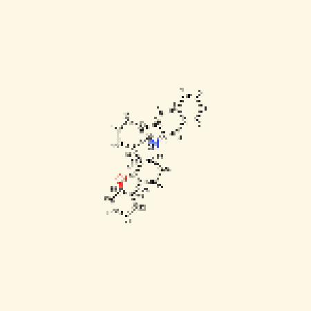 c1ccc2cc3c(cc2c1)c1cccc2c4c5oc6ccccc6c5ccc4n3c12